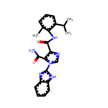 Cc1cccc(C(C)C)c1NC(=O)c1ncn(-c2nc3ccccc3[nH]2)c1C(N)=O